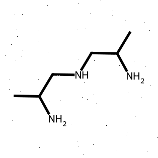 CC(N)CNCC(C)N